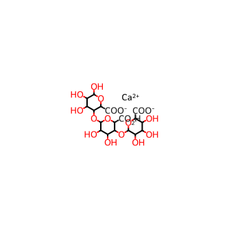 O=C([O-])C1OC(OC2C(C(=O)O)OC(OC3C(C(=O)[O-])OC(O)C(O)C3O)C(O)C2O)C(O)C(O)C1O.[Ca+2]